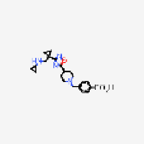 O=C(O)c1ccc(CN2CCC(c3nc(C4(CNC5CC5)CC4)no3)CC2)cc1